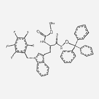 CC(C)(C)OC(=O)NC(Cc1cn(Cc2c(F)c(F)c(F)c(F)c2F)c2ccccc12)C(=O)NOC(c1ccccc1)(c1ccccc1)c1ccccc1